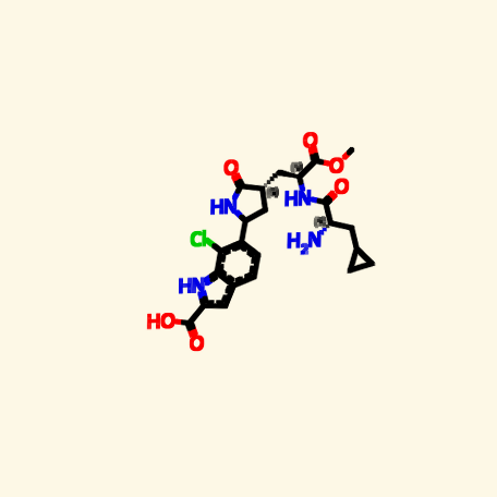 COC(=O)[C@H](C[C@@H]1CC(c2ccc3cc(C(=O)O)[nH]c3c2Cl)NC1=O)NC(=O)[C@@H](N)CC1CC1